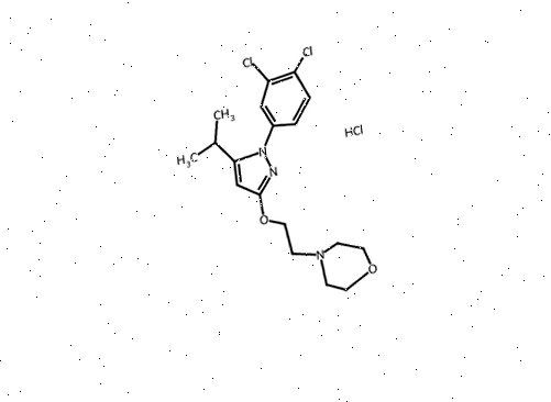 CC(C)c1cc(OCCN2CCOCC2)nn1-c1ccc(Cl)c(Cl)c1.Cl